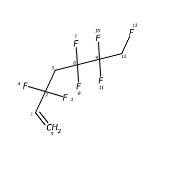 C=CC(F)(F)CC(F)(F)C(F)(F)CF